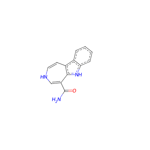 NC(=O)C1=CNC=Cc2c1[nH]c1ccccc21